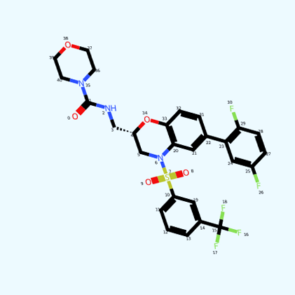 O=C(NC[C@H]1CN(S(=O)(=O)c2cccc(C(F)(F)F)c2)c2cc(-c3cc(F)ccc3F)ccc2O1)N1CCOCC1